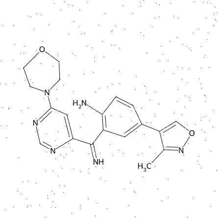 Cc1nocc1-c1ccc(N)c(C(=N)c2cc(N3CCOCC3)ncn2)c1